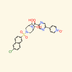 O=C(c1cnc(-c2cc[n+]([O-])cc2)cn1)N1C2CN(S(=O)(=O)c3ccc4cc(Cl)ccc4c3)CC1C(O)C2O